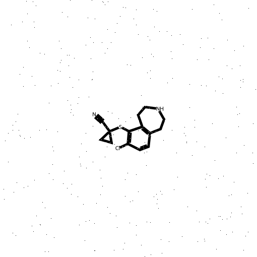 N#CC1(Sc2c(Cl)ccc3c2CCNCC3)CC1